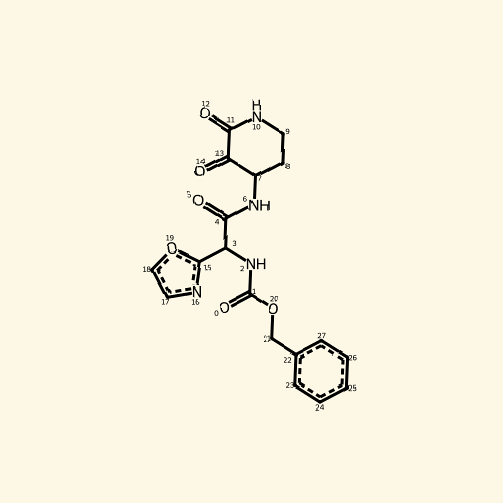 O=C(NC(C(=O)NC1CCNC(=O)C1=O)c1ncco1)OCc1ccccc1